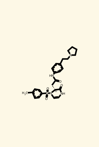 Cc1ccc(S(=O)(=O)N2C=CNC(=O)[C@H]2CC(=O)Nc2ccc(CCN3CCCC3)cc2)cc1